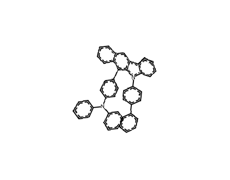 c1ccc(-c2ccc(-n3c4ccccc4c4cc5ccccc5c(-c5ccc(N(c6ccccc6)c6ccccc6)cc5)c43)cc2)cc1